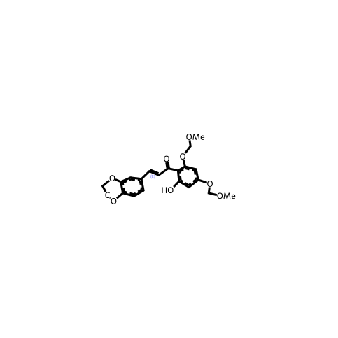 COCOc1cc(O)c(C(=O)/C=C/c2ccc3c(c2)OCCO3)c(OCOC)c1